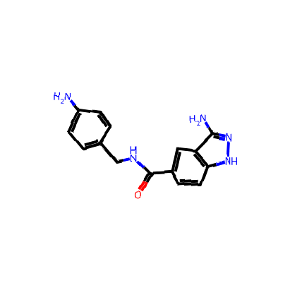 Nc1ccc(CNC(=O)c2ccc3[nH]nc(N)c3c2)cc1